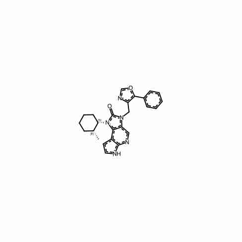 C[C@@H]1CCCC[C@@H]1n1c(=O)n(Cc2ncoc2-c2ccccc2)c2cnc3[nH]ccc3c21